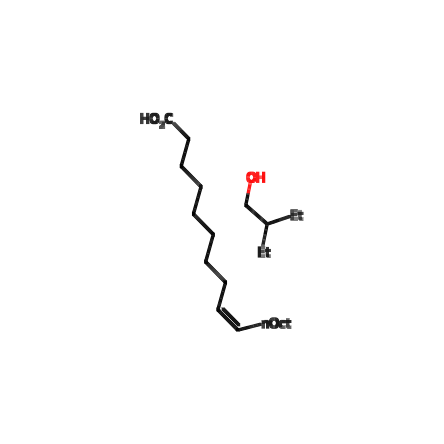 CCC(CC)CO.CCCCCCCC/C=C\CCCCCCCC(=O)O